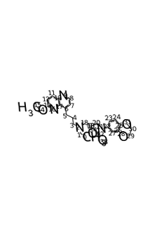 CCN(CCCc1ccnc2ccc(OC)nc12)C[C@@H]1CN(c2ccc3c(c2)OCCO3)C(=O)O1